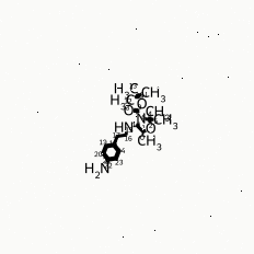 C[C@@H]1OC(C)(C)N(C(=O)OC(C)(C)C)[C@H]1NCCc1ccc(N)cc1